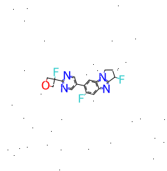 Fc1cc2nc3n(c2cc1-c1cnc(C2(F)COC2)nc1)CC[C@H]3F